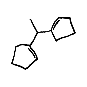 C[C](C1=CCCC1)C1=CCCC1